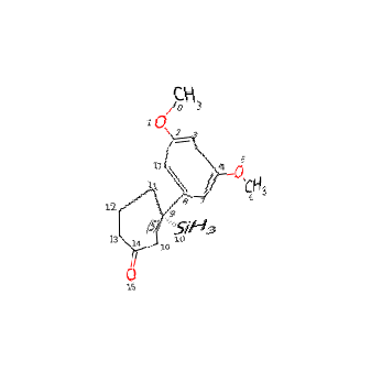 COc1cc(OC)cc([C@]2([SiH3])CCCC(=O)C2)c1